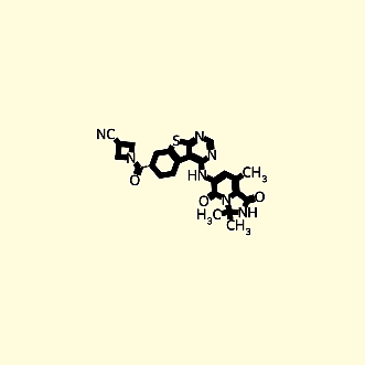 Cc1cc(Nc2ncnc3sc4c(c23)CC[C@H](C(=O)N2CC(C#N)C2)C4)c(=O)n2c1C(=O)NC2(C)C